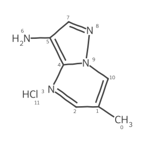 Cc1cnc2c(N)cnn2c1.Cl